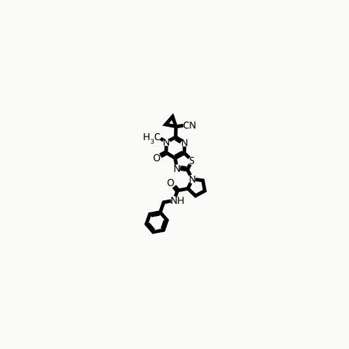 Cn1c(C2(C#N)CC2)nc2sc(N3CCCC3C(=O)NCc3ccccc3)nc2c1=O